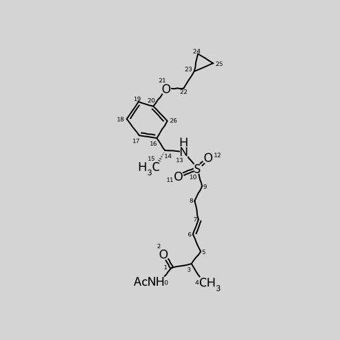 CC(=O)NC(=O)C(C)C/C=C/CCS(=O)(=O)N[C@H](C)c1cccc(OCC2CC2)c1